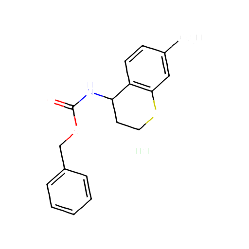 Cl.O=C(NC1CCSc2cc(C(=O)O)ccc21)OCc1ccccc1